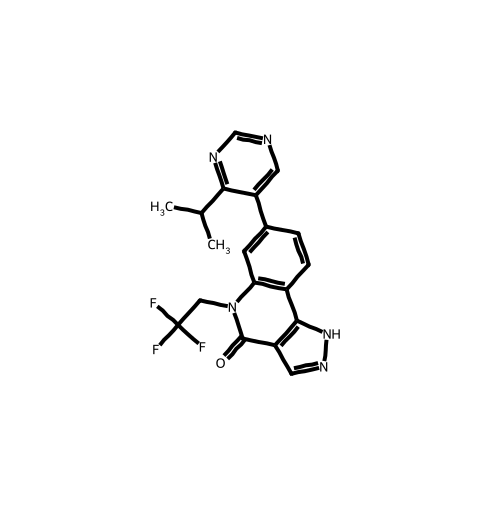 CC(C)c1ncncc1-c1ccc2c3[nH]ncc3c(=O)n(CC(F)(F)F)c2c1